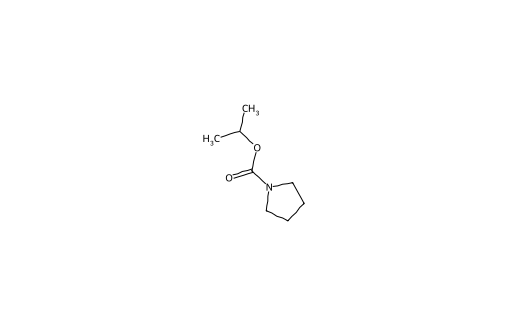 CC(C)OC(=O)N1CCCC1